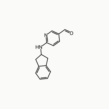 O=Cc1ccc(NC2Cc3ccccc3C2)nc1